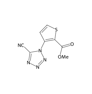 COC(=O)c1sccc1-n1nnnc1C#N